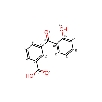 O=C(O)c1cccc(C(=O)c2ccccc2O)c1